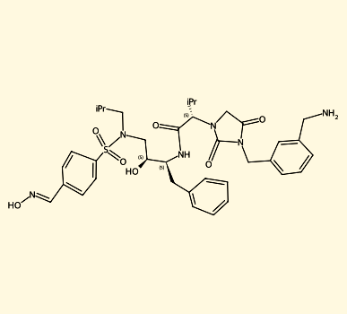 CC(C)CN(C[C@H](O)[C@H](Cc1ccccc1)NC(=O)[C@H](C(C)C)N1CC(=O)N(Cc2cccc(CN)c2)C1=O)S(=O)(=O)c1ccc(C=NO)cc1